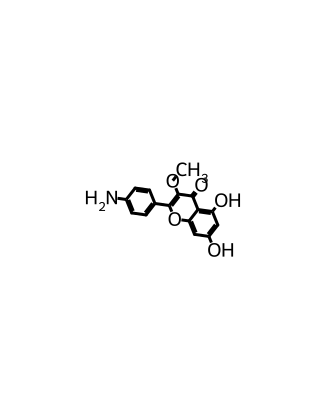 COc1c(-c2ccc(N)cc2)oc2cc(O)cc(O)c2c1=O